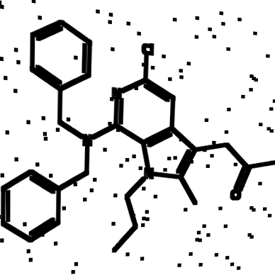 CCCn1c(C)c(CC(C)=O)c2cc(Cl)nc(N(Cc3ccccc3)Cc3ccccc3)c21